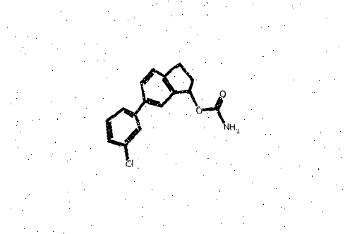 NC(=O)OC1CCc2ccc(-c3cccc(Cl)c3)cc21